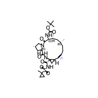 C[C@@H]1CC/C=C\[C@@H]2C[C@@]2(C(=O)NS(=O)(=O)C2(C)CC2)NC(=O)[C@@H]2C[CH]CN2C(=O)[C@@H](NC(=O)OC(C)(C)C)[C@H](C)C1